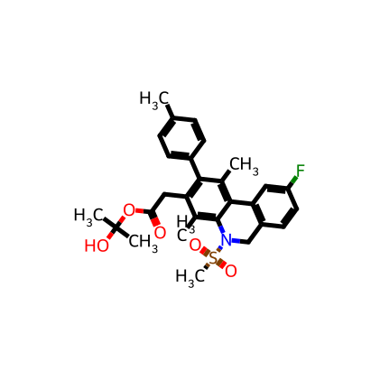 Cc1ccc(-c2c(C)c3c(c(C)c2CC(=O)OC(C)(C)O)N(S(C)(=O)=O)Cc2ccc(F)cc2-3)cc1